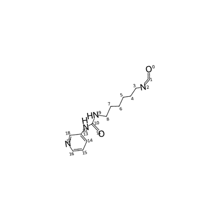 O=C=NCCCCCCNC(=O)Nc1cccnc1